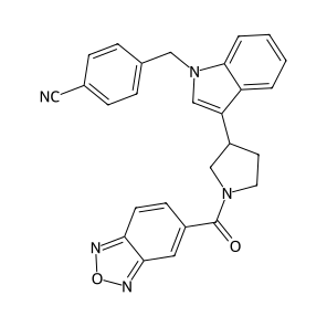 N#Cc1ccc(Cn2cc(C3CCN(C(=O)c4ccc5nonc5c4)C3)c3ccccc32)cc1